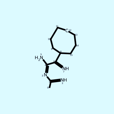 CC(=N)/N=C(/N)C(=N)C1CCCCCCC1